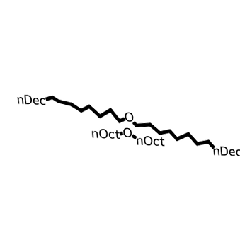 CCCCCCCCCCCCCCCCCCOCCCCCCCCCCCCCCCCCC.CCCCCCCCOCCCCCCCC